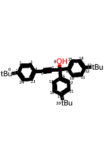 CC(C)(C)c1ccc(C#CC(O)(c2ccc(C(C)(C)C)cc2)c2ccc(C(C)(C)C)cc2)cc1